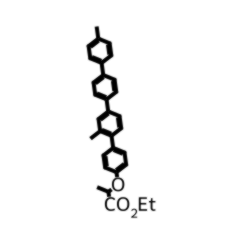 CCOC(=O)C(C)Oc1ccc(-c2ccc(-c3ccc(-c4ccc(C)cc4)cc3)cc2C)cc1